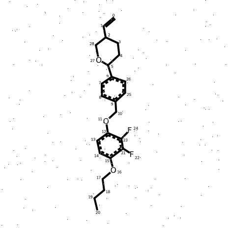 C=CC1CCC(c2ccc(COc3ccc(OCCCC)c(F)c3F)cc2)OC1